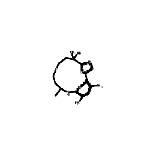 CC1CCCCCC(O)(C(F)(F)F)c2nnc(o2)-c2nc(c(C(F)(F)F)cc2N)N1